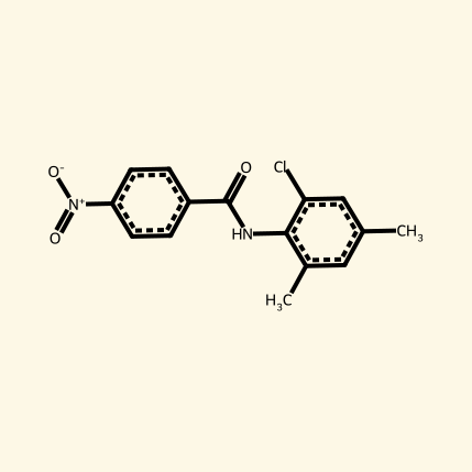 Cc1cc(C)c(NC(=O)c2ccc([N+](=O)[O-])cc2)c(Cl)c1